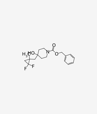 CC1(CC2(O)CCN(C(=O)OCc3ccccc3)CC2)CC1(F)F